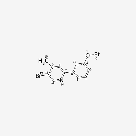 CCOc1cccc(-c2cc(C)c(Br)cn2)c1